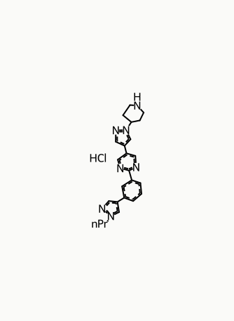 CCCn1cc(-c2cccc(-c3ncc(-c4cnn(C5CCNCC5)c4)cn3)c2)cn1.Cl